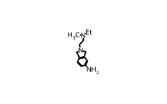 CCN(C)CCN1Cc2ccc(N)cc2C1